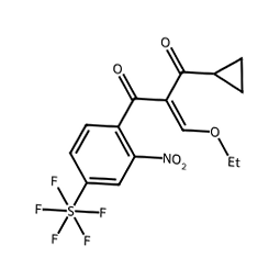 CCOC=C(C(=O)c1ccc(S(F)(F)(F)(F)F)cc1[N+](=O)[O-])C(=O)C1CC1